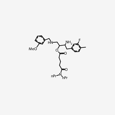 CCCN(CCC)C(=O)CCCC(=O)OC(CNCc1cccc(OC)c1)C(N)Cc1ccc(C)c(F)c1